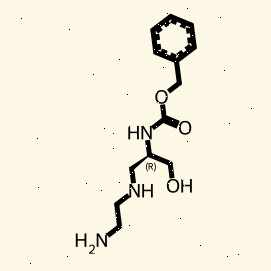 NCCNC[C@H](CO)NC(=O)OCc1ccccc1